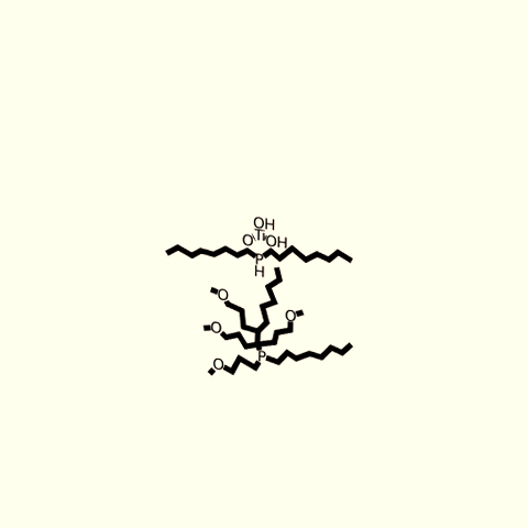 CCCCCCCCP(CCCOC)C(CCCOC)(CCCOC)C(CCCCCC)CCCOC.CCCCCCCCPCCCCCCCC.[O]=[Ti]([OH])[OH]